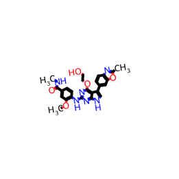 CNC(=O)c1ccc(Nc2nc(OCCO)c3c(-c4ccc5nc(C)oc5c4)c[nH]c3n2)c(OC)c1